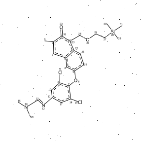 Cc1cc2cc(Oc3c(Cl)cc(N=CN(C)C)cc3Cl)ccc2n(COCC[Si](C)(C)C)c1=O